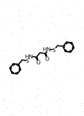 O=C(CC(=O)NSCc1ccccc1)NSCc1ccccc1